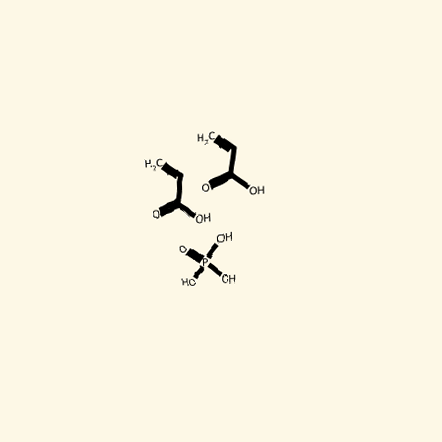 C=CC(=O)O.C=CC(=O)O.O=P(O)(O)O